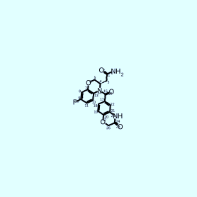 NC(=O)C[C@@H]1COc2cc(F)ccc2N1C(=O)c1ccc2c(c1)NC(=O)CO2